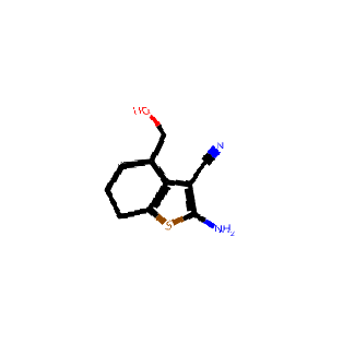 N#Cc1c(N)sc2c1C(CO)CCC2